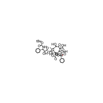 CC(=O)OC12CO[C@@H]1C[C@H](O)[C@@]1(C)C(=O)[C@H](O)C3=C(C)[C@@H](OC(=O)[C@H](O)[C@@H](NC(=O)OC(C)(C)C)c4ccccc4)[C@@H]4OC(=O)O[C@]4([C@@H](OC(=O)c4ccccc4)[C@H]21)C3(C)C